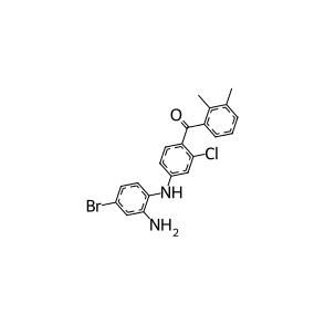 Cc1cccc(C(=O)c2ccc(Nc3ccc(Br)cc3N)cc2Cl)c1C